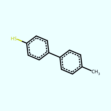 Cc1ccc(-c2ccc(S)cc2)cc1